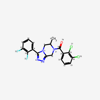 CC1Cn2c(nnc2-c2cccc(F)c2F)CN1C(=O)c1cccc(Cl)c1Cl